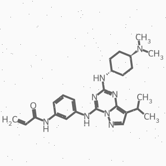 C=CC(=O)Nc1cccc(Nc2nc(N[C@H]3CC[C@H](N(C)C)CC3)nc3c(C(C)C)cnn23)c1